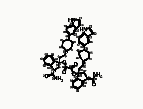 NC(=O)N1C[C@@](CCN2CCC(c3ccc4[nH]ccc4c3)CC2)(OC(=O)C(=O)O[C@]2(CCN3CCC(c4ccc5[nH]ccc5c4)CC3)CN(C(N)=O)c3ccccc32)c2ccccc21